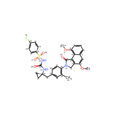 CCOc1cc2cccc(OCC)c2c2c1CN(c1ccc(CC3(NC(=O)NS(=O)(=O)c4ccc(F)cc4)CC3)cc1C)C2=O